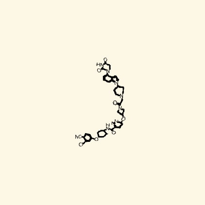 N#Cc1ccc(OC2CCC(NC(=O)c3ccc(OC4CN(C(=O)CN5CCC(n6ccc7c(N8CCC(=O)NC8=O)cccc76)CC5)C4)nn3)CC2)cc1Cl